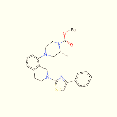 C[C@@H]1CN(c2cccc3c2CN(c2nc(-c4ccccc4)cs2)CC3)CCN1C(=O)OC(C)(C)C